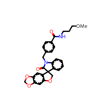 COCCCNC(=O)c1ccc(CN2C(=O)C3(COc4cc5c(cc43)OCO5)c3ccccc32)cc1